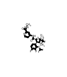 CNC(=O)c1cc(NC(=O)[C@H]2O[C@](C)(C(F)(F)F)[C@H](C)[C@H]2c2ccc(F)c(F)c2OC(F)F)ccn1